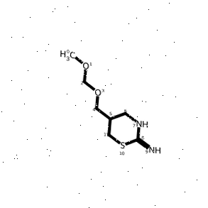 COCOCC1CNC(=N)SC1